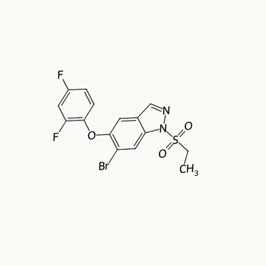 CCS(=O)(=O)n1ncc2cc(Oc3ccc(F)cc3F)c(Br)cc21